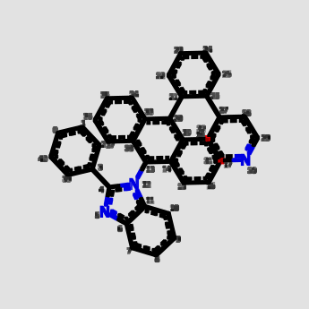 c1ccc(-c2nc3ccccc3n2-c2c3ccccc3c(-c3ccccc3-c3ccncc3)c3ccccc23)cc1